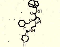 O=C(NC1C2CC3CC(C2)CC1C3)c1cnn(CCNC(=O)N2CCNCC2)c1OCC1CCCCC1